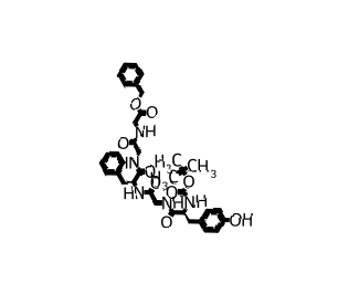 CC(C)(C)OC(=O)N[C@@H](Cc1ccc(O)cc1)C(=O)NCC(=O)N[C@@H](Cc1ccccc1)C(=O)NCC(=O)NCC(=O)OCc1ccccc1